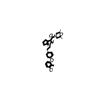 Cc1c(Cl)cccc1O[C@H]1CC[C@@H](CCn2nc(C(=O)N3C[C@@H](C)O[C@@H](C)C3)c3c2CCC3)CC1